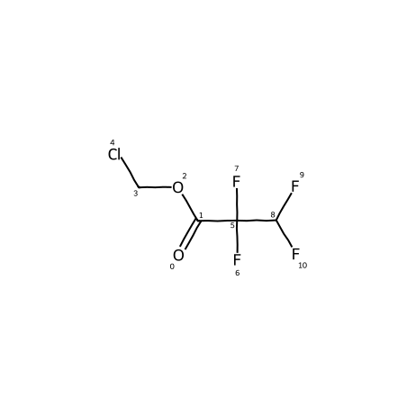 O=C(OCCl)C(F)(F)C(F)F